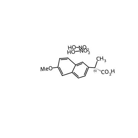 COc1ccc2cc([C@H](C)C(=O)O)ccc2c1.O=[N+]([O-])O.O=[N+]([O-])O